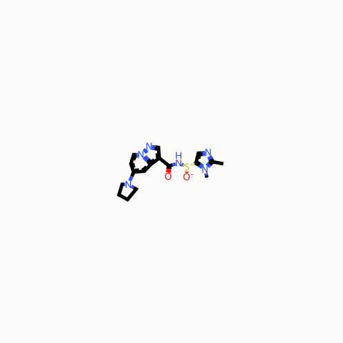 Cc1ncc([S+]([O-])NC(=O)c2cnn3ccc(N4CCCC4)cc23)n1C